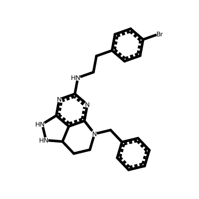 Brc1ccc(CCNc2nc3c4c(n2)N(Cc2ccccc2)CCC4NN3)cc1